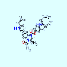 CC(=O)N1c2ccc(C3CC=C(CC4CC4)NC3)cc2N(C(=O)Oc2ccc3c(c2)CCC2(CCCCCCCC2)N3)C[C@@H]1C